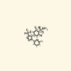 Cc1cccc(-c2noc(C(F)(F)F)c2-c2cc(F)c(S(N)(=O)=O)c(F)c2)n1